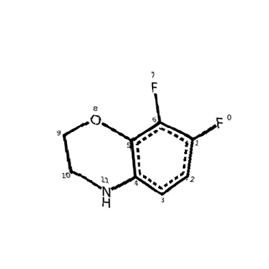 Fc1[c]cc2c(c1F)OCCN2